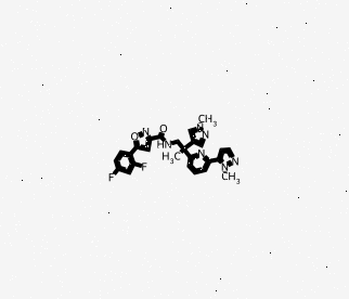 Cn1cc(C(C)(CNC(=O)c2cc(-c3ccc(F)cc3F)on2)c2cccc(-c3ccnn3C)n2)cn1